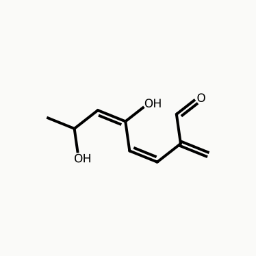 C=C(C=O)/C=C\C(O)=C/C(C)O